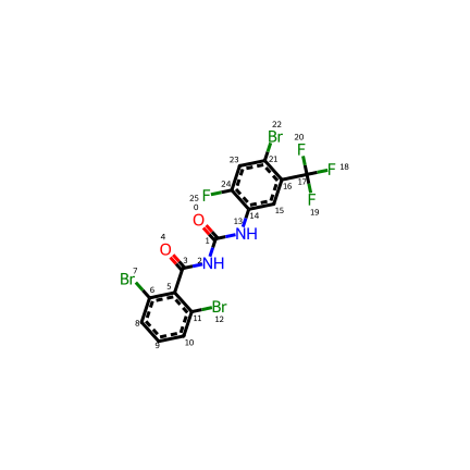 O=C(NC(=O)c1c(Br)cccc1Br)Nc1cc(C(F)(F)F)c(Br)cc1F